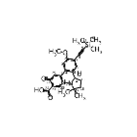 COc1cc2c(cc1C#C[Si](C)(C)C)[C@H]1CCC(C)(C)N1n1cc(C(=O)O)c(=O)cc1-2